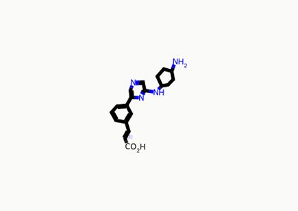 NC1CCC(Nc2cncc(-c3cccc(/C=C/C(=O)O)c3)n2)CC1